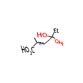 CCC(O)(O)/C=C(\C)C(=O)O